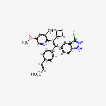 N#Cc1cc(OC(F)(F)F)cnc1C(=C(c1ccc(C=CC(=O)O)cc1)c1ccc2[nH]nc(F)c2c1)C1CCC1